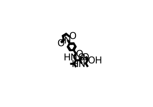 CC(NC(=O)C(NC(=O)c1ccc(N2C(=O)C=CC2=O)cc1)C(C)C)C(=O)O